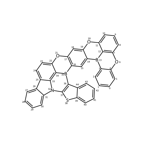 c1ccc2c(c1)Oc1cccc3c1B2c1cc2c(cc1O3)Oc1ccc3c4ccccc4n4c3c1B2c1c-4sc2ccccc12